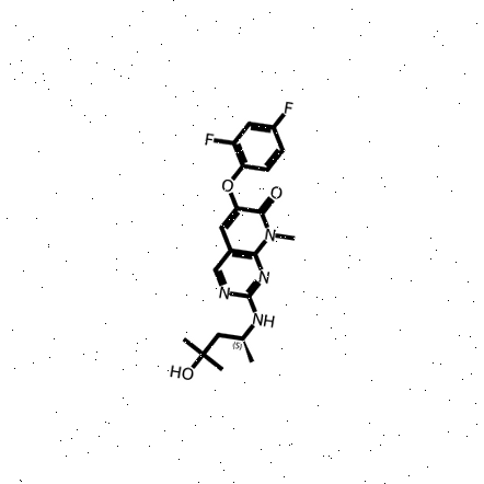 C[C@@H](CC(C)(C)O)Nc1ncc2cc(Oc3ccc(F)cc3F)c(=O)n(C)c2n1